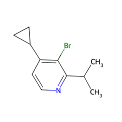 CC(C)c1nccc(C2CC2)c1Br